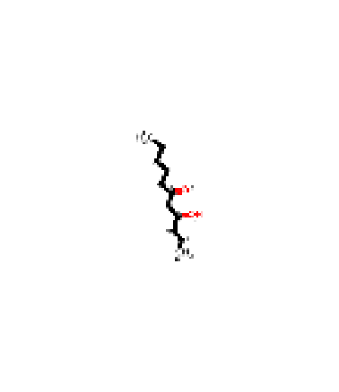 CCCCCC(=O)CC(O)CCC